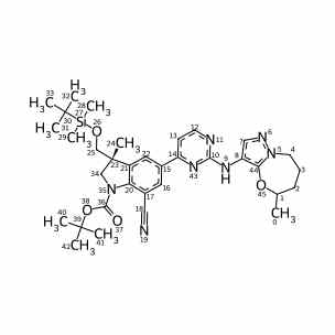 CC1CCCn2ncc(Nc3nccc(-c4cc(C#N)c5c(c4)[C@@](C)(CO[Si](C)(C)C(C)(C)C)CN5C(=O)OC(C)(C)C)n3)c2O1